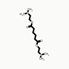 CN(C)CCOC(=O)CCCCC(=O)OCCN(C)C